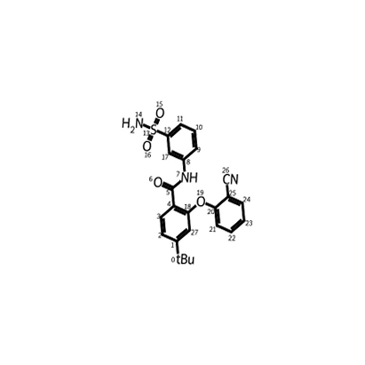 CC(C)(C)c1ccc(C(=O)Nc2cccc(S(N)(=O)=O)c2)c(Oc2ccccc2C#N)c1